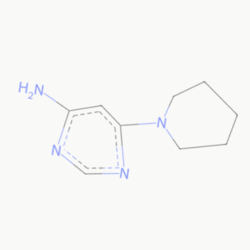 Nc1cc(N2CCCCC2)ncn1